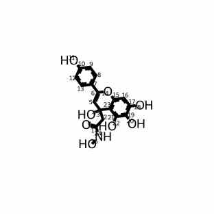 O=C(CC1(O)C=C(c2ccc(O)cc2)Oc2cc(O)c(O)c(O)c21)NO